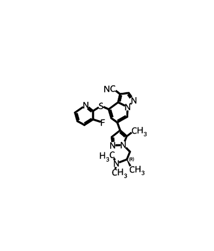 Cc1c(-c2cc(Sc3ncccc3F)c3c(C#N)cnn3c2)cnn1C[C@@H](C)N(C)C